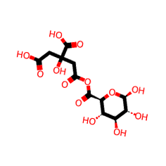 O=C(O)CC(O)(CC(=O)OC(=O)[C@H]1O[C@@H](O)[C@H](O)[C@@H](O)[C@@H]1O)C(=O)O